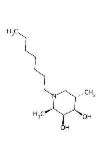 CCCCCCCN1C[C@H](C)[C@@H](O)[C@@H](O)[C@H]1C